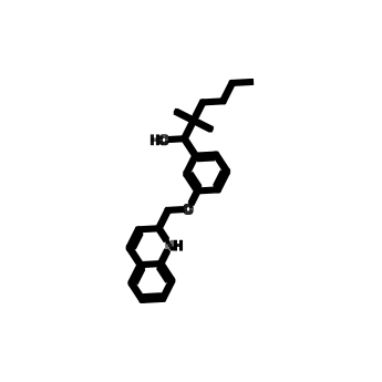 CCCCC(C)(C)C(O)c1cccc(OCC2C=Cc3ccccc3N2)c1